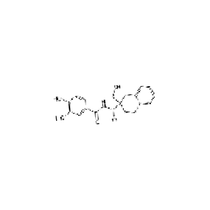 O=C(NC(=O)C1(CS)CCc2ccccc2C1)c1ccc(O)c(O)c1